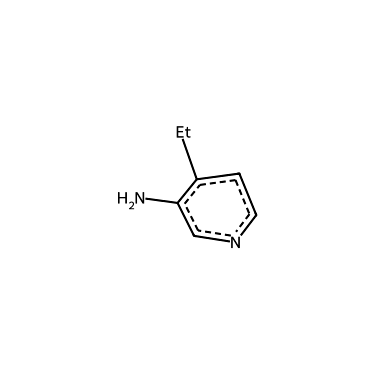 [CH2]Cc1ccncc1N